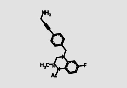 CC(=O)N1c2ccc(F)cc2N(Cc2ccc(C#CCN)cc2)C[C@@H]1C